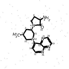 C[C@H]1C[C@@H](N2CCC(N)C2=O)CN(c2ccnc3nccnc23)C1